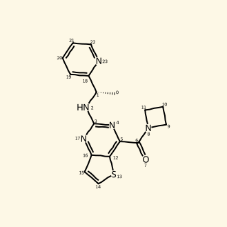 C[C@H](Nc1nc(C(=O)N2CCC2)c2sccc2n1)c1ccccn1